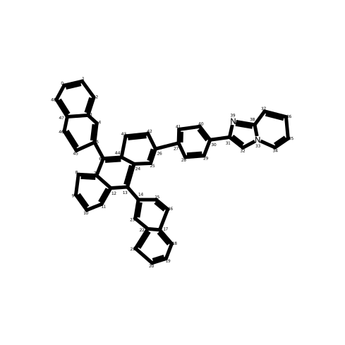 c1ccc2cc(-c3c4ccccc4c(-c4ccc5ccccc5c4)c4cc(-c5ccc(-c6cn7ccccc7n6)cc5)ccc34)ccc2c1